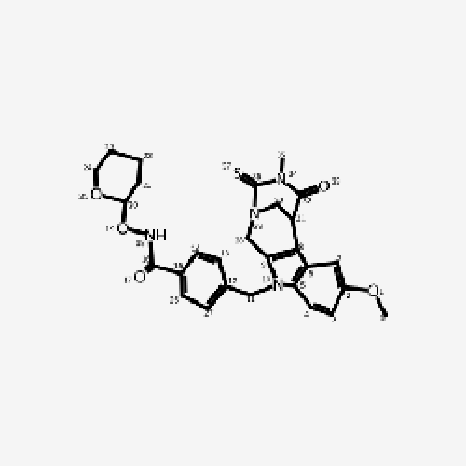 COc1ccc2c(c1)c1c(n2Cc2ccc(C(=O)NOC3CCCCO3)cc2)CN2CC1C(=O)N(C)C2=S